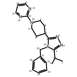 CC(C)c1nnc(C2CCN(c3ncccn3)CC2)n1Cc1ccccc1